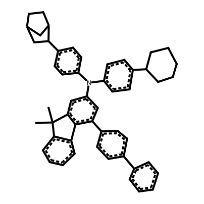 CC1(C)c2ccccc2-c2c(-c3ccc(-c4ccccc4)cc3)cc(N(c3ccc(C4CCCCC4)cc3)c3ccc(C4CC5CCC4C5)cc3)cc21